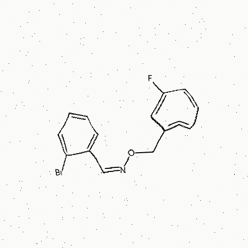 Fc1cccc(CO/N=[C]\c2ccccc2Br)c1